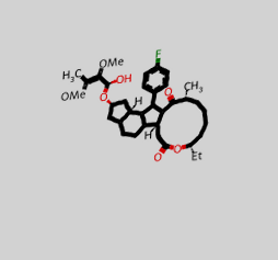 CC[C@H]1CCCC[C@@H](C)C(=O)C2C(c3ccc(F)cc3)C3C(CCC4C[C@@H](O[C@H](O)/C(OC)=C(/C)OC)C[C@H]43)[C@@H]2CC(=O)O1